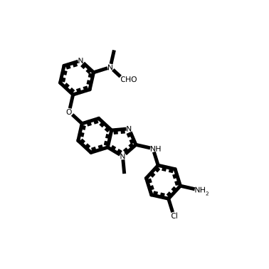 CN(C=O)c1cc(Oc2ccc3c(c2)nc(Nc2ccc(Cl)c(N)c2)n3C)ccn1